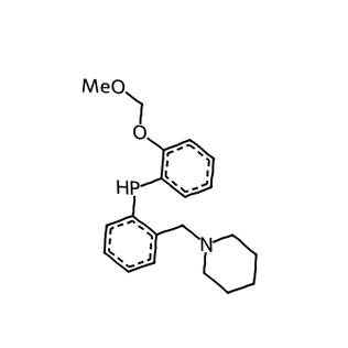 COCOc1ccccc1Pc1ccccc1CN1CCCCC1